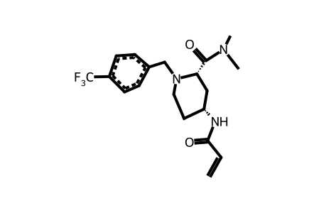 C=CC(=O)N[C@@H]1CCN(Cc2ccc(C(F)(F)F)cc2)[C@H](C(=O)N(C)C)C1